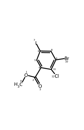 COC(=O)c1cc(I)cc(Br)c1Cl